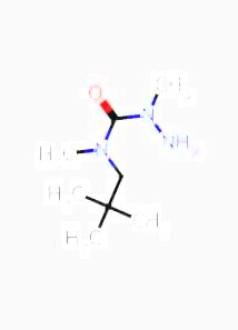 CN(N)C(=O)N(C)CC(C)(C)C